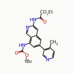 CCOC(=O)C(=O)Nc1cc2cc(-c3cnccc3C)cc(NC(=O)OC(C)(C)C)c2cn1